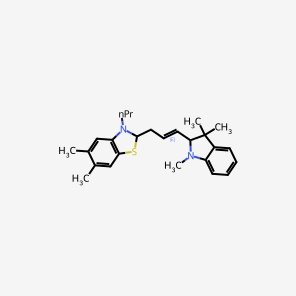 CCCN1c2cc(C)c(C)cc2SC1C/C=C/C1N(C)c2ccccc2C1(C)C